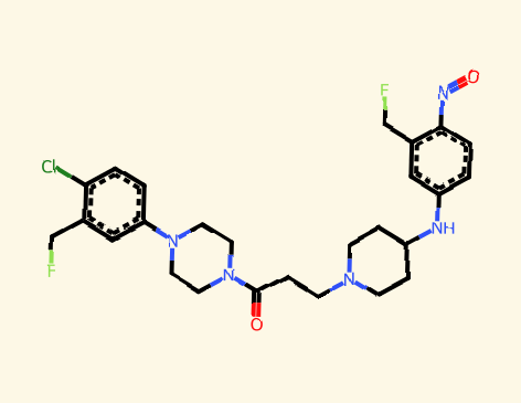 O=Nc1ccc(NC2CCN(CCC(=O)N3CCN(c4ccc(Cl)c(CF)c4)CC3)CC2)cc1CF